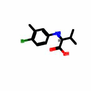 Cc1cc(N[C@H](C(=O)O)C(C)C)ccc1Br